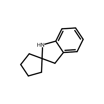 c1ccc2c(c1)CC1(CCCC1)N2